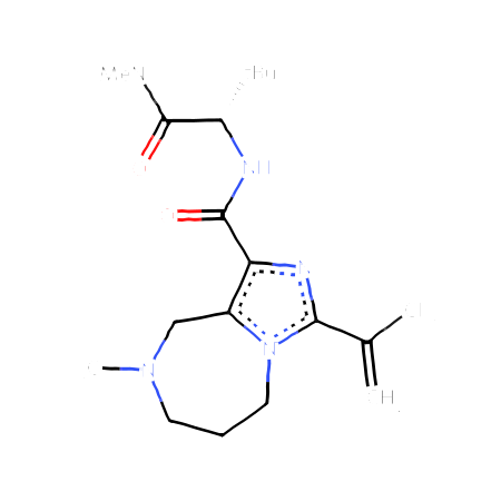 C=C(c1nc(C(=O)N[C@H](C(=O)NC)C(C)(C)C)c2n1CCCN(C)C2)C(F)(F)F